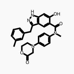 Cc1cccc(Cc2n[nH]c3cc(O)c(C(=O)N(C)c4ccc(N5CCOC(=O)C5)cc4)cc23)c1